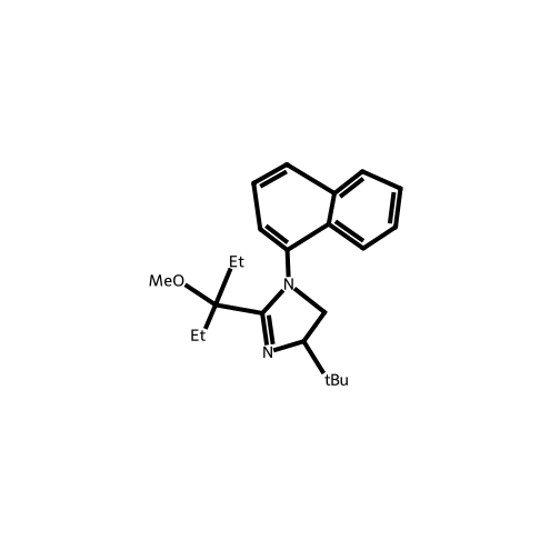 CCC(CC)(OC)C1=NC(C(C)(C)C)CN1c1cccc2ccccc12